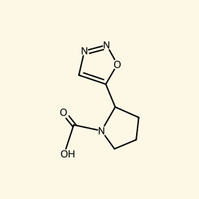 O=C(O)N1CCCC1c1cnno1